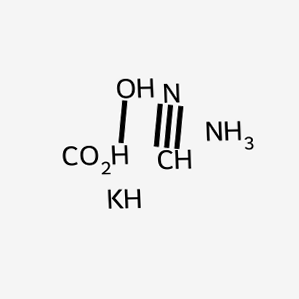 C#N.N.O=C(O)O.[KH]